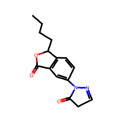 CCCCC1OC(=O)c2cc(N3N=CCC3=O)ccc21